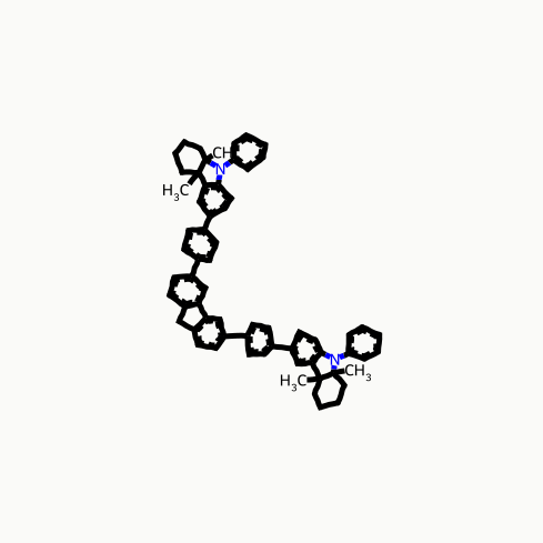 CC12CCCCC1(C)N(c1ccccc1)c1ccc(-c3ccc(-c4ccc5c(c4)-c4cc(-c6ccc(-c7ccc8c(c7)C7(C)CCCCC7(C)N8c7ccccc7)cc6)ccc4C5)cc3)cc12